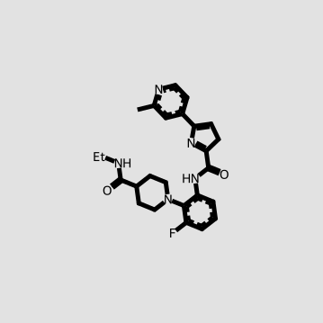 CCNC(=O)C1CCN(c2c(F)cccc2NC(=O)C2=NC(c3ccnc(C)c3)=CC2)CC1